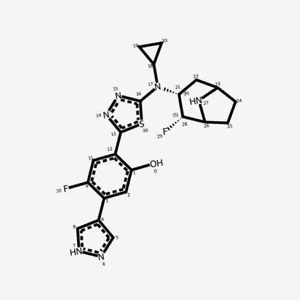 Oc1cc(-c2cn[nH]c2)c(F)cc1-c1nnc(N(C2CC2)[C@@H]2CC3CCC(N3)[C@@H]2F)s1